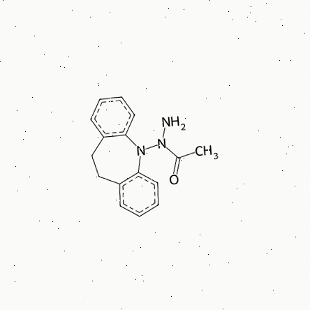 CC(=O)N(N)N1c2ccccc2CCc2ccccc21